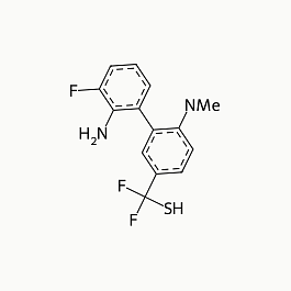 CNc1ccc(C(F)(F)S)cc1-c1cccc(F)c1N